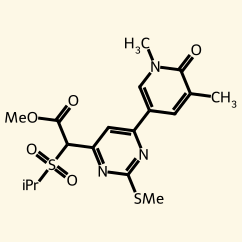 COC(=O)C(c1cc(-c2cc(C)c(=O)n(C)c2)nc(SC)n1)S(=O)(=O)C(C)C